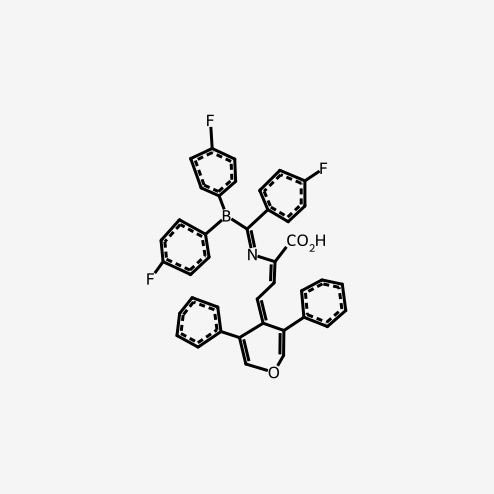 O=C(O)C(=CC=C1C(c2ccccc2)=COC=C1c1ccccc1)N=C(B(c1ccc(F)cc1)c1ccc(F)cc1)c1ccc(F)cc1